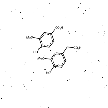 COc1cc(C(=O)O)ccc1O.COc1cc(CC(=O)O)ccc1O